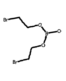 [O]B(OCCBr)OCCBr